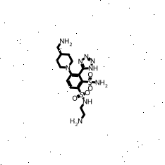 NCCNS(=O)(=O)c1ccc(N2CCC(CN)CC2)c(-c2nnn[nH]2)c1S(N)(=O)=O